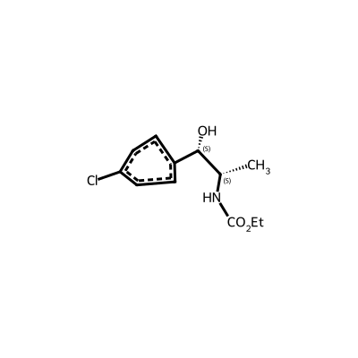 CCOC(=O)N[C@@H](C)[C@@H](O)c1ccc(Cl)cc1